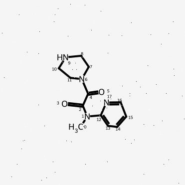 CN(C(=O)C(=O)N1CCNCC1)c1ccccn1